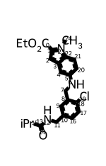 CCOC(=O)c1cc2cc(NCc3cc(CNC(=O)C(C)C)ccc3Cl)ccc2n1C